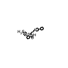 CN1CCN(c2cccc3c(=O)[nH]c(CCCN4CC=C(c5ccccc5)CC4)nc23)CC1